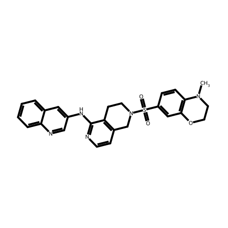 CN1CCOc2cc(S(=O)(=O)N3CCc4c(ccnc4Nc4cnc5ccccc5c4)C3)ccc21